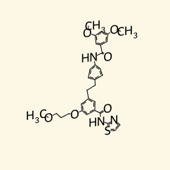 COCCCOc1cc(CCc2ccc(NC(=O)c3cc(OC)cc(OC)c3)cc2)cc(C(=O)Nc2nccs2)c1